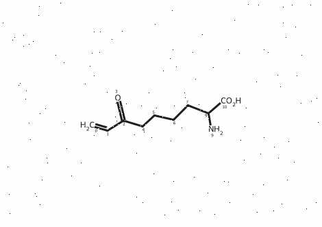 C=CC(=O)CCCCC(N)C(=O)O